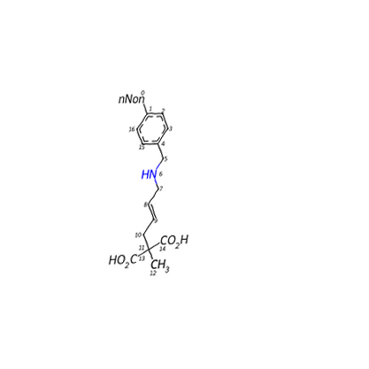 CCCCCCCCCc1ccc(CNCC=CCC(C)(C(=O)O)C(=O)O)cc1